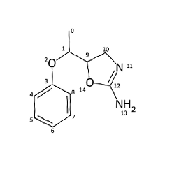 CC(Oc1ccccc1)C1CN=C(N)O1